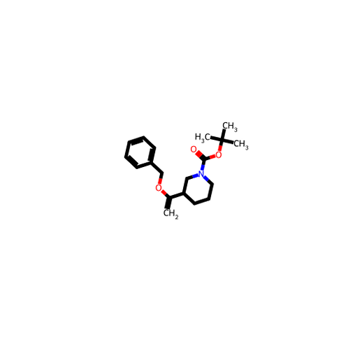 C=C(OCc1ccccc1)C1CCCN(C(=O)OC(C)(C)C)C1